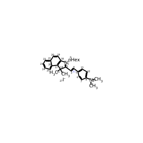 CCCCCC[N+]1=C(/C=C/c2ccc(N(C)C)cc2)C(C)(C)c2c1ccc1ccccc21.[I-]